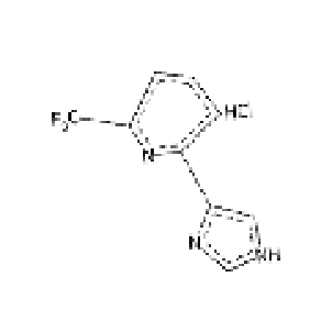 Cl.FC(F)(F)c1cccc(-c2c[nH]cn2)n1